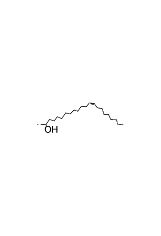 [CH2]C(O)CCCCCCCCCC/C=C\CCCCCCCC